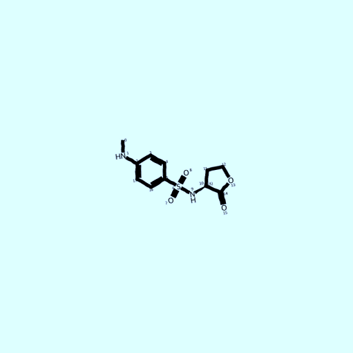 CNc1ccc(S(=O)(=O)N[C@H]2CCOC2=O)cc1